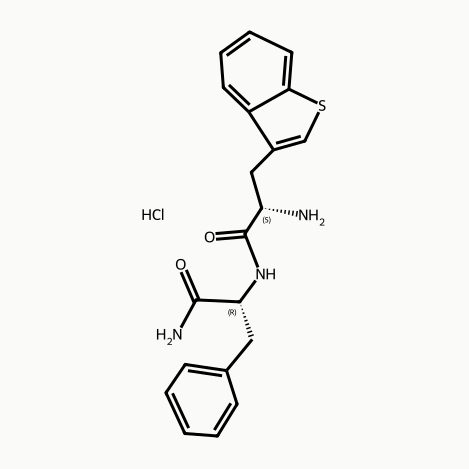 Cl.NC(=O)[C@@H](Cc1ccccc1)NC(=O)[C@@H](N)Cc1csc2ccccc12